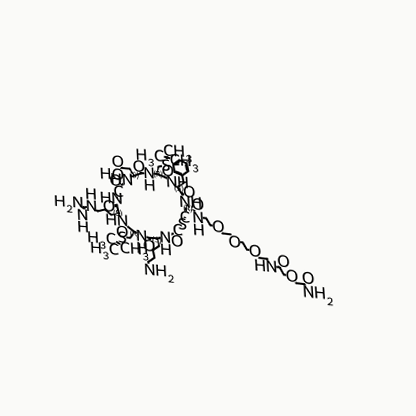 CC(C)(C)SC[C@@H]1NC(=O)[C@H](CCCCN)NC(=O)CSC[C@@H](C(=O)NCCOCCOCCOCCNC(=O)COCC(N)=O)NC(=O)[C@H](Cc2ccccc2)NC(=O)[C@H](CSC(C)(C)C)NC(=O)[C@H](CC(=O)O)NC(=O)CNC(=O)[C@H](CCCNC(=N)N)NC1=O